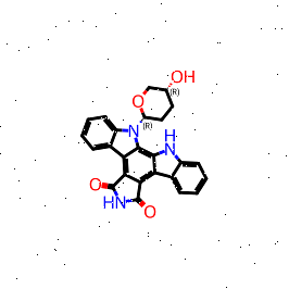 O=C1NC(=O)c2c1c1c3ccccc3[nH]c1c1c2c2ccccc2n1[C@H]1CC[C@@H](O)CO1